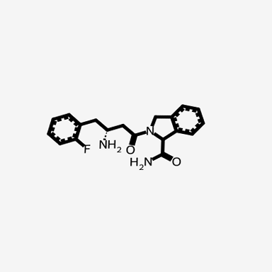 NC(=O)C1c2ccccc2CN1C(=O)C[C@H](N)Cc1ccccc1F